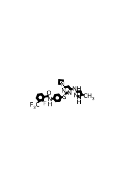 Cc1cc(Nc2cc(N3CCC3)nc(Sc3ccc(NC(=O)c4cccc(C(F)(F)F)c4F)cc3)n2)n[nH]1